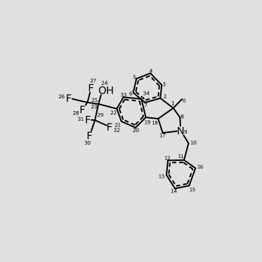 CC1(c2ccccc2)CN(Cc2ccccc2)CC1c1ccc(C(O)(C(F)(F)F)C(F)(F)F)cc1